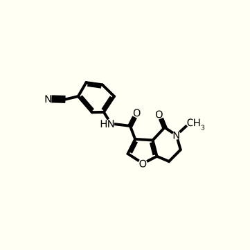 CN1CCc2occ(C(=O)Nc3cccc(C#N)c3)c2C1=O